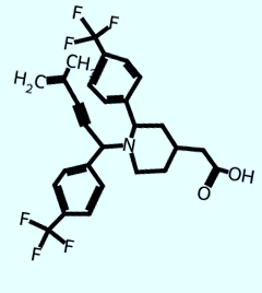 C=C(C)C#CC(c1ccc(C(F)(F)F)cc1)N1CCC(CC(=O)O)CC1c1ccc(C(F)(F)F)cc1